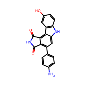 Nc1ccc(-c2cc3[nH]c4ccc(O)cc4c3c3c2C(=O)NC3=O)cc1